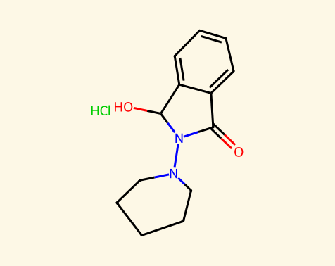 Cl.O=C1c2ccccc2C(O)N1N1CCCCC1